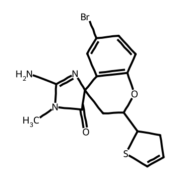 CN1C(=O)C2(CC(C3CC=CS3)Oc3ccc(Br)cc32)N=C1N